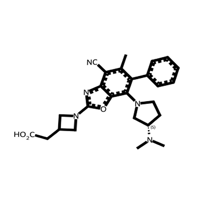 Cc1c(-c2ccccc2)c(N2CC[C@H](N(C)C)C2)c2oc(N3CC(CC(=O)O)C3)nc2c1C#N